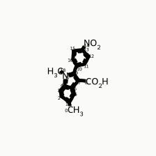 Cc1ccc2c(c1)c(C(=O)O)c(-c1ccc([N+](=O)[O-])cc1)n2C